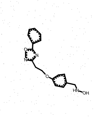 ONCc1ccc(OCCc2noc(-c3ccccc3)n2)cc1